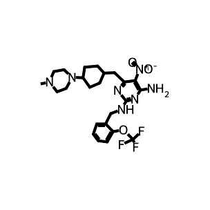 CN1CCN(C2CCC(Cc3nc(NCc4ccccc4OC(F)(F)F)nc(N)c3[N+](=O)[O-])CC2)CC1